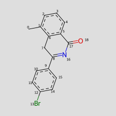 Cc1cccc2c1CC(c1ccc(Br)cc1)=NC2=O